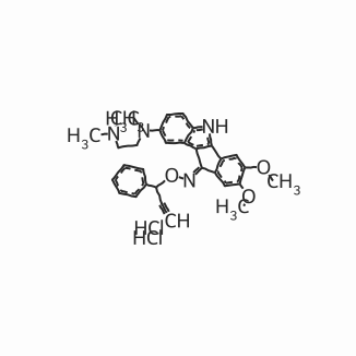 C#CC(ON=C1c2cc(OC)c(OC)cc2-c2[nH]c3ccc(N(C)CCN(C)C)cc3c21)c1ccccc1.Cl.Cl